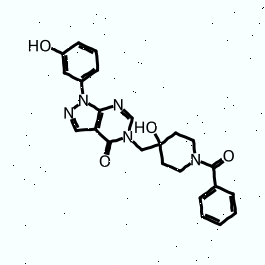 O=C(c1ccccc1)N1CCC(O)(Cn2cnc3c(cnn3-c3cccc(O)c3)c2=O)CC1